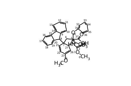 COC(=O)NC(CC1(C2c3ccccc3-c3ccccc32)C=CC(OC)=CC1OC)(Oc1ccccc1)C(=O)O